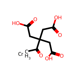 CC(=O)C(CC(=O)O)(CC(=O)O)CC(=O)O.[Cr]